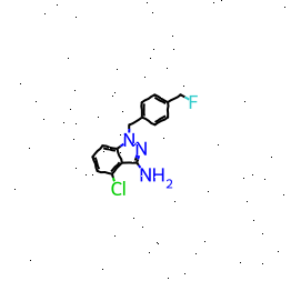 Nc1nn(Cc2ccc(CF)cc2)c2cccc(Cl)c12